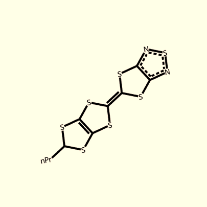 CCCC1SC2=C(SC(=C3Sc4nsnc4S3)S2)S1